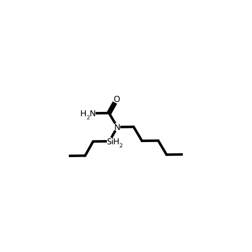 CCCCCN([SiH2]CCC)C(N)=O